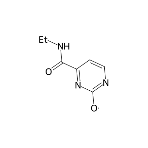 CCNC(=O)c1ccnc([O])n1